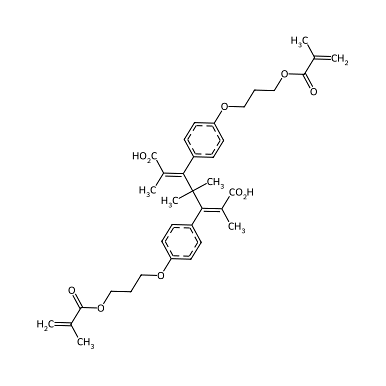 C=C(C)C(=O)OCCCOc1ccc(C(=C(C)C(=O)O)C(C)(C)C(=C(C)C(=O)O)c2ccc(OCCCOC(=O)C(=C)C)cc2)cc1